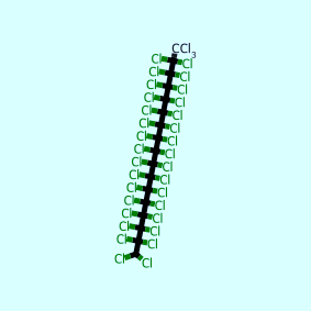 Cl[C](Cl)C(Cl)(Cl)C(Cl)(Cl)C(Cl)(Cl)C(Cl)(Cl)C(Cl)(Cl)C(Cl)(Cl)C(Cl)(Cl)C(Cl)(Cl)C(Cl)(Cl)C(Cl)(Cl)C(Cl)(Cl)C(Cl)(Cl)C(Cl)(Cl)C(Cl)(Cl)C(Cl)(Cl)C(Cl)(Cl)Cl